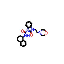 O=C(NC1CCCc2ccccc21)n1c(=O)n(CCN2CCOCC2)c2ccccc21